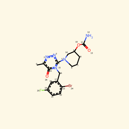 Cc1nnc(N2CCCC(OC(N)=O)C2)n(Cc2cc(F)ccc2Br)c1=O